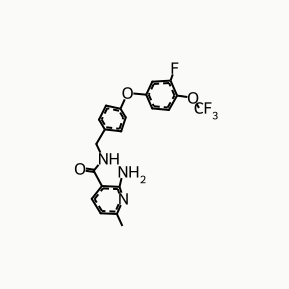 Cc1ccc(C(=O)NCc2ccc(Oc3ccc(OC(F)(F)F)c(F)c3)cc2)c(N)n1